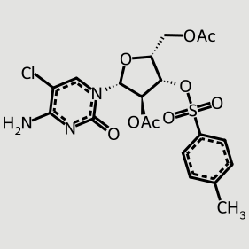 CC(=O)OC[C@H]1O[C@@H](n2cc(Cl)c(N)nc2=O)[C@H](OC(C)=O)[C@H]1OS(=O)(=O)c1ccc(C)cc1